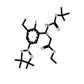 CCOC(=O)C[C@H](NC(=O)OC(C)(C)C)c1cc(B2OC(C)(C)C(C)(C)O2)cc(CC)c1F